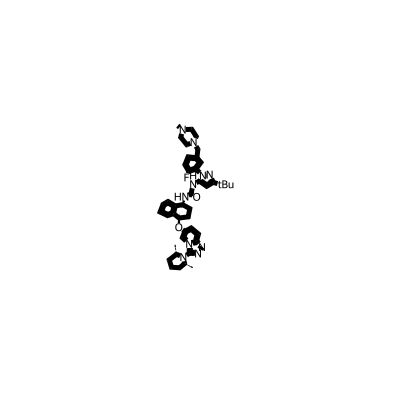 C[C@@H]1CCC[C@H](C)N1c1nnc2ccc(O[C@@H]3CC[C@H](NC(=O)Nc4cc(C(C)(C)C)nn4-c4cc(CN5CCN(C)CC5)ccc4F)c4ccccc43)cn12